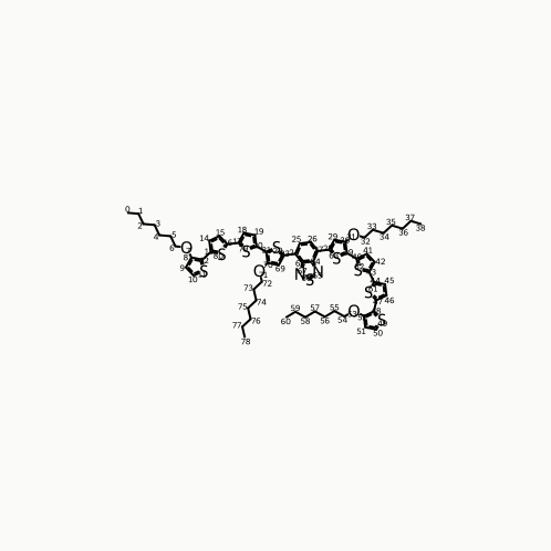 CCCCCCCOc1ccsc1-c1ccc(-c2ccc(-c3sc(-c4ccc(-c5cc(OCCCCCCC)c(-c6ccc(-c7ccc(-c8sccc8OCCCCCCC)s7)s6)s5)c5nsnc45)cc3OCCCCCCC)s2)s1